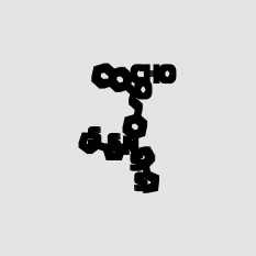 O=Cc1cc2ccccc2cc1C(=O)C=Cc1ccc(N(c2ccc(C3=CCCS3)s2)c2ccc(-c3cccs3)s2)cc1